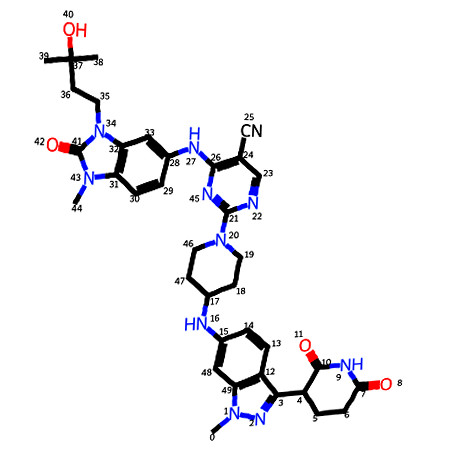 Cn1nc(C2CCC(=O)NC2=O)c2ccc(NC3CCN(c4ncc(C#N)c(Nc5ccc6c(c5)n(CCC(C)(C)O)c(=O)n6C)n4)CC3)cc21